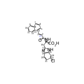 O=C(/C=C/c1cccc2ccccc12)N[C@H](Cc1nc2ccc(Cl)cc2[nH]1)C(=O)O